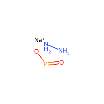 NN.O=P[O-].[Na+]